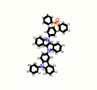 O=P(c1ccccc1)(c1ccccc1)c1ccc(-n2c3ccccc3c3c2c2ccccc2n3-c2ccc3c(c2)c2ccccc2n3-c2ccccc2)cc1